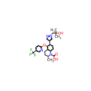 C[C@H]1CCc2c(ccc(-c3cnn(CC(C)(C)O)c3)c2Oc2ccc(C(F)(F)F)cn2)N1C(=O)O